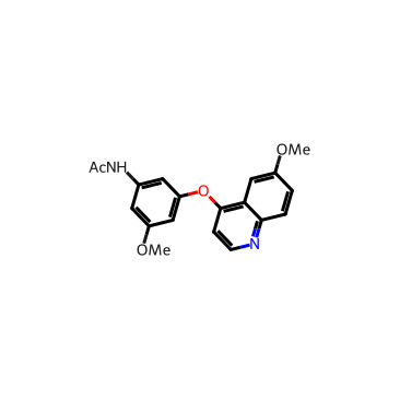 COc1cc(NC(C)=O)cc(Oc2ccnc3ccc(OC)cc23)c1